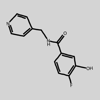 O=C(NCc1ccncc1)c1ccc(F)c(O)c1